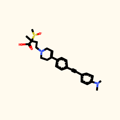 CN(C)c1ccc(C#Cc2ccc(C3=CCN(CCC(C)(C(=O)O)[S+](C)[O-])CC3)cc2)cc1